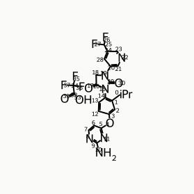 CC(C)c1cc(Oc2ccnc(N)n2)ccc1N1C(=O)CN(c2cncc(C(F)F)c2)C1=O.O=C(O)C(F)(F)F